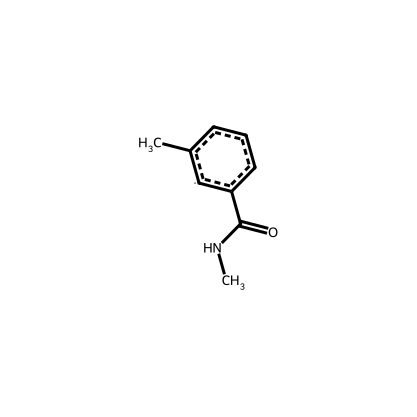 CNC(=O)c1[c]c(C)ccc1